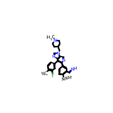 CNc1ccc(-c2ncc3c(ncn3CC3CCN(C)CC3)c2-c2ccc(C#N)c(F)c2)cc1C=N